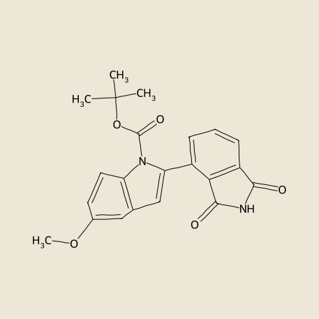 COc1ccc2c(c1)cc(-c1cccc3c1C(=O)NC3=O)n2C(=O)OC(C)(C)C